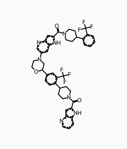 O=C(c1cc2ncc(N3CCOC(c4ccc(C5CCN(C(=O)c6cc7ncccc7[nH]6)CC5)c(C(F)(F)F)c4)C3)cc2[nH]1)N1CCC(c2ccccc2C(F)(F)F)CC1